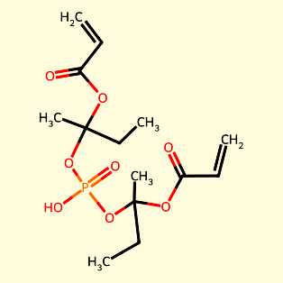 C=CC(=O)OC(C)(CC)OP(=O)(O)OC(C)(CC)OC(=O)C=C